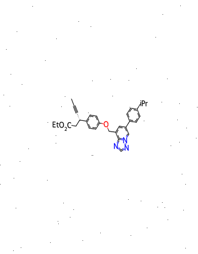 CC#C[C@@H](CC(=O)OCC)c1ccc(OCc2cc(-c3ccc(C(C)C)cc3)cn3ncnc23)cc1